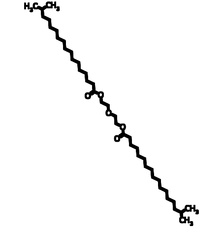 CC(C)CCCCCCCCCCCCCCC(=O)OCCOCCOC(=O)CCCCCCCCCCCCCCC(C)C